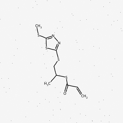 C=CC(=O)SC(C)CSc1nnc(SC)s1